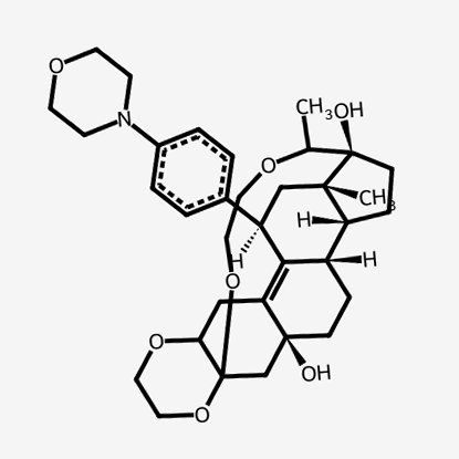 CC1OCCOC23C[C@@]4(O)CC[C@@H]5C(=C4CC2OCCO3)[C@@H](c2ccc(N3CCOCC3)cc2)C[C@@]2(C)[C@@H]5CC[C@@]12O